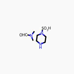 CN(C)C=O.O=S(=O)(O)N1CCNCC1